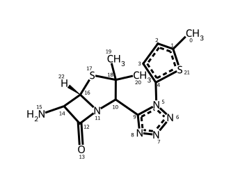 Cc1ccc(-n2nnnc2C2N3C(=O)C(N)[C@@H]3SC2(C)C)s1